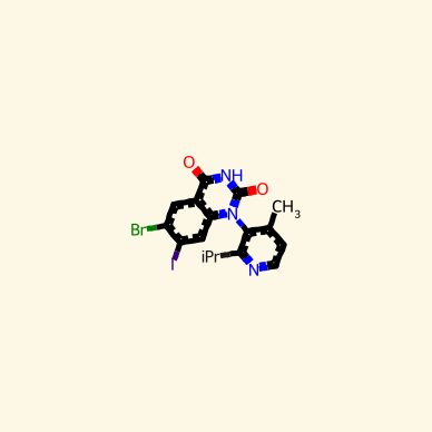 Cc1ccnc(C(C)C)c1-n1c(=O)[nH]c(=O)c2cc(Br)c(I)cc21